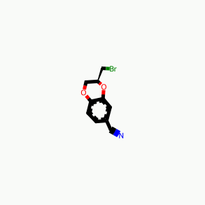 N#Cc1ccc2c(c1)O[C@H](CBr)CO2